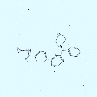 O=C(NC1CC1)c1ccc(-c2ccnc(N(c3ccccc3)N3CCOCC3)n2)cc1